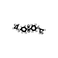 O=S(=O)(c1ccc(SC2CSC2)cc1)c1ccc(SC2CSC2)cc1